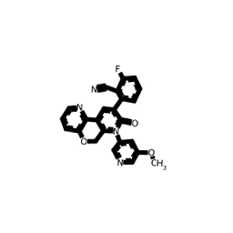 COc1cncc(-n2c3c(cc(-c4cccc(F)c4C#N)c2=O)-c2ncccc2OC3)c1